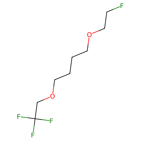 FCCOCCCCOCC(F)(F)F